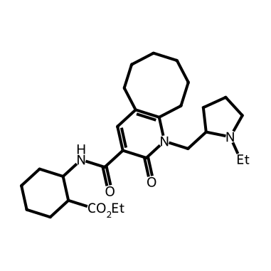 CCOC(=O)C1CCCCC1NC(=O)c1cc2c(n(CC3CCCN3CC)c1=O)CCCCCC2